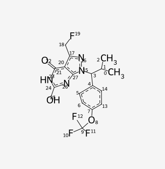 CC(C)C(c1ccc(OC(F)(F)F)cc1)n1nc(CF)c2c(=O)[nH]c(O)nc21